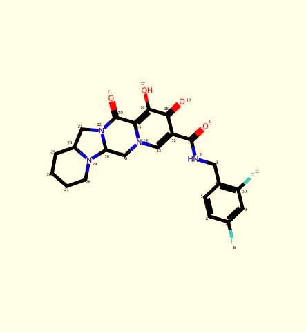 O=C(NCc1ccc(F)cc1F)c1cn2c(c(O)c1=O)C(=O)N1CC3CCCCN3C1C2